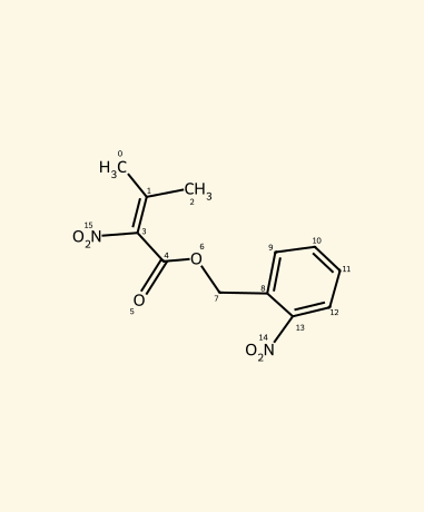 CC(C)=C(C(=O)OCc1ccccc1[N+](=O)[O-])[N+](=O)[O-]